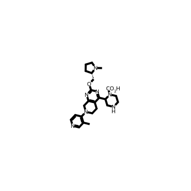 Cc1cnccc1N1CCc2c(nc(OC[C@@H]3CCCN3C)nc2C2CNCCN2C(=O)O)C1